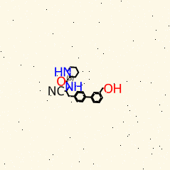 N#CC(Cc1ccc(-c2cccc(CO)c2)cc1)NC(=O)[C@@H]1CCCCN1